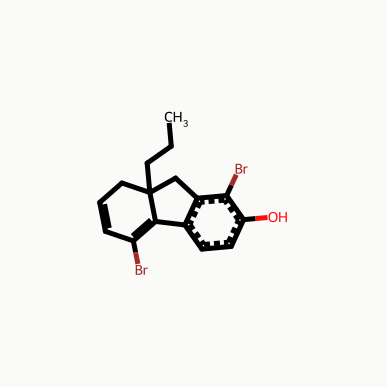 CCCC12CC=CC(Br)=C1c1ccc(O)c(Br)c1C2